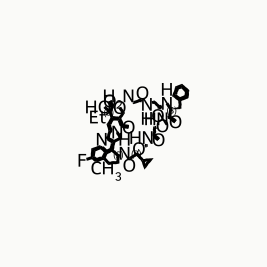 CC[C@@]1(O)C(=O)OCc2c1cc1n(c2=O)Cc2c-1nc1cc(F)c(C)c3c1c2[C@@H](NC(=O)[C@H](OCNC(=O)CONC(=O)[C@H](Cc1ccccc1)NC(=O)CNC(=O)CN)C1CC1)CC3